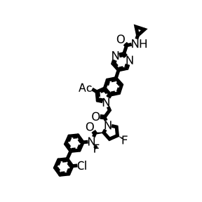 CC(=O)c1cn(CC(=O)N2C[C@H](F)C[C@H]2C(=O)N(F)c2cccc(-c3ccccc3Cl)c2)c2ccc(-c3cnc(C(=O)NC4CC4)nc3)cc12